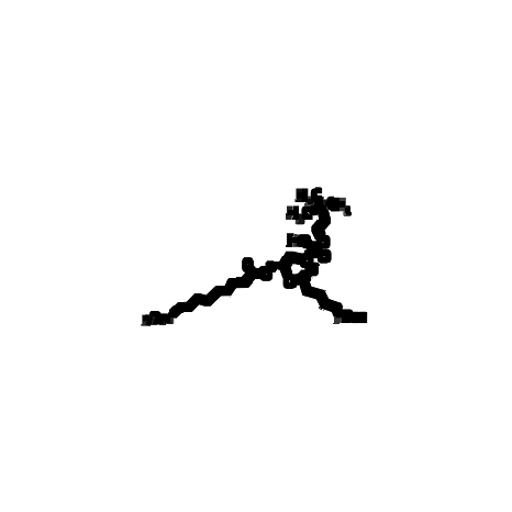 CCCCCCCCCCCCCCCCCCC(=O)OC[C@H](COP(=O)(O)OCC[N+](C)(C)C)OC(=O)CCCCCCCCCCCCCC